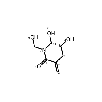 C=C(CCO)C(=O)N(CO)CO